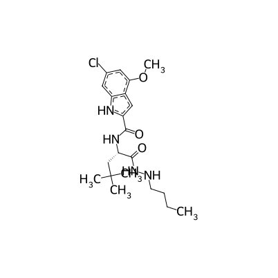 CCCCNNC(=O)[C@H](CC(C)(C)C)NC(=O)c1cc2c(OC)cc(Cl)cc2[nH]1